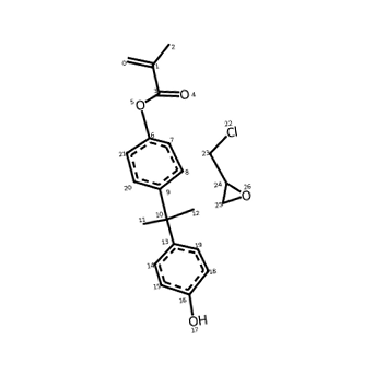 C=C(C)C(=O)Oc1ccc(C(C)(C)c2ccc(O)cc2)cc1.ClCC1CO1